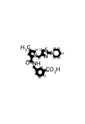 Cc1cc(C(=O)NCc2cccc(C(=O)O)c2)n(Cc2csc(N3CCCCC3)n2)c1